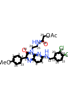 COc1ccc(-c2nc3ccc(NCc4ccc(Cl)c(Cl)c4)nc3n(CCNC(=O)COC(C)=O)c2=O)cc1